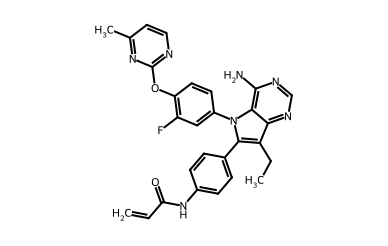 C=CC(=O)Nc1ccc(-c2c(CC)c3ncnc(N)c3n2-c2ccc(Oc3nccc(C)n3)c(F)c2)cc1